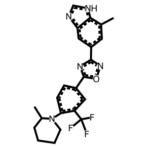 Cc1cc(-c2noc(-c3ccc(N4CCCCC4C)c(C(F)(F)F)c3)n2)cc2nc[nH]c12